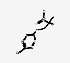 CC(F)(COc1nnc(Cl)nn1)[N+](=O)[O-]